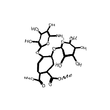 COC(=O)C1CC(OC2OC(N)C(O)C(O)C2O)C(OC2OC(O)C(O)C(O)C2O)CC1C(=O)OC